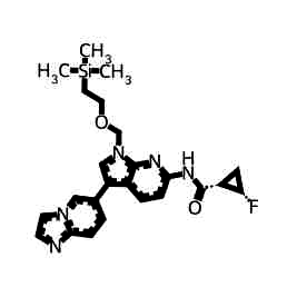 C[Si](C)(C)CCOCn1cc(-c2ccc3nccn3c2)c2ccc(NC(=O)[C@@H]3C[C@@H]3F)nc21